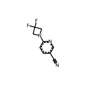 N#Cc1ccc(N2CC(F)(F)C2)nc1